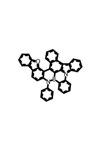 c1ccc(N2B3c4ccccc4-n4c5ccccc5c5c6ccccc6c(c3c54)-c3c2ccc2c3oc3ccccc32)cc1